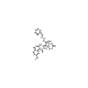 COc1ccc2ncc(Cl)c([C@H](F)CCC3(C(=O)N(O)CCCSc4ccccn4)CCNCC3)c2c1